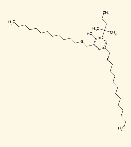 CCCCCCCCCCCCSCc1cc(CSCCCCCCCCCCCC)c(O)c(C(C)(C)CCC)c1